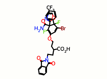 NC(=O)C1(c2ncco2)C(F)=C(OCCC(CCN2C(=O)c3ccccc3C2=O)C(=O)O)C=C(Br)C1(F)c1ccc(C(F)(F)F)cc1